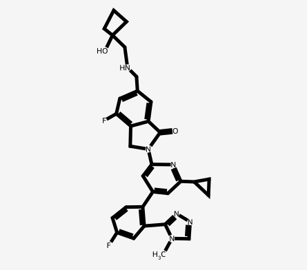 Cn1cnnc1-c1cc(F)ccc1-c1cc(C2CC2)nc(N2Cc3c(F)cc(CNCC4(O)CCC4)cc3C2=O)c1